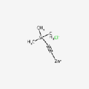 C[Si](C)(C)C#[C][Zn+].[Cl-]